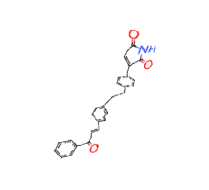 O=C1C=C(c2ccc(CCc3ccc(C=CC(=O)c4ccccc4)cc3)cc2)C(=O)N1